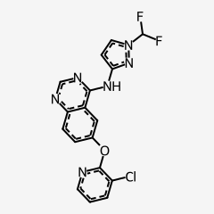 FC(F)n1ccc(Nc2ncnc3ccc(Oc4ncccc4Cl)cc23)n1